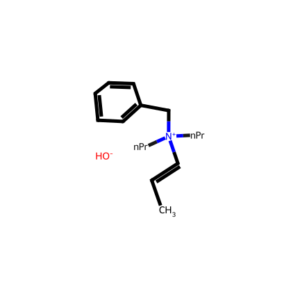 CC=C[N+](CCC)(CCC)Cc1ccccc1.[OH-]